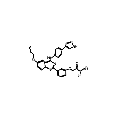 CC(C)NC(=O)COc1cccc(-c2nc(Nc3ccc(-c4cn[nH]c4)cc3)c3cc(OCCF)ccc3n2)c1